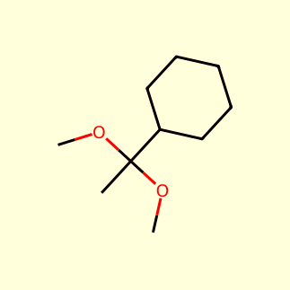 COC(C)(OC)C1CCCCC1